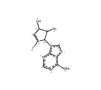 CNc1ncnc2c1ncn2C1C(F)=CC(O)C1O